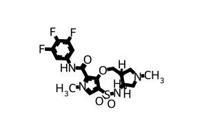 CN1C[C@H]2COc3c(cn(C)c3C(=O)Nc3cc(F)c(F)c(F)c3)S(=O)(=O)N[C@H]2C1